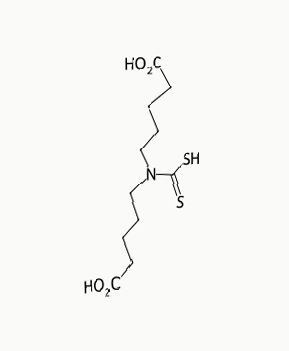 O=C(O)CCCCN(CCCCC(=O)O)C(=S)S